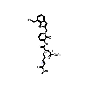 COC(=O)N[C@@H](CC/C=C/C(=O)N(C)C)C(=O)Nc1cccn(Cc2cc3cccc(CC(C)C)c3[nH]2)c1=O